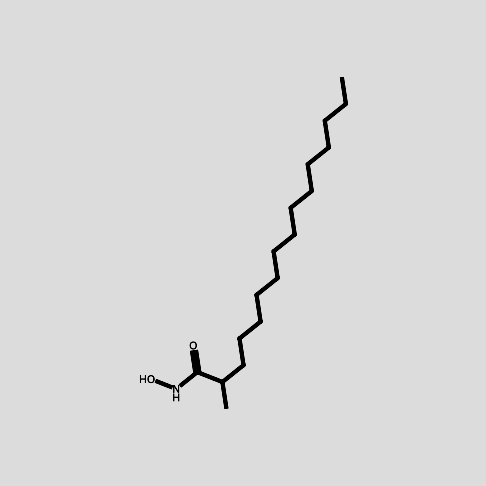 CCCCCCCCCCCCCCC(C)C(=O)NO